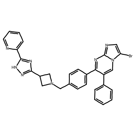 Brc1cnc2nc(-c3ccc(CN4CC(c5n[nH]c(-c6ccccn6)n5)C4)cc3)c(-c3ccccc3)cn12